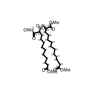 COC(=O)CCCCCCCCCC(C(=O)OC)[N+](=O)[O-].COC(=O)CCCCCCCCCCC(C(=O)OC)[N+](=O)[O-]